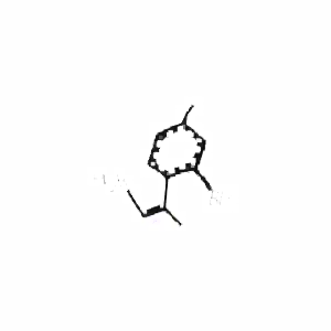 B/C=C(/C)c1ccc(C)cc1B